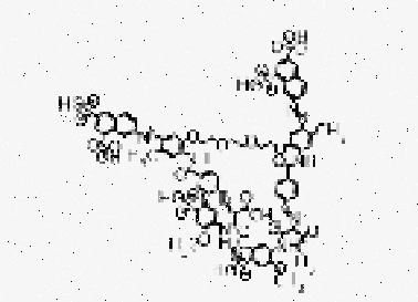 COc1cc(S(=O)(=O)O)c(C)cc1NC(=O)C(/N=N/c1ccc(C(=O)Nc2cc(C)c(/N=N/c3ccc4cc(S(=O)(=O)O)cc(S(=O)(=O)O)c4c3)cc2OCCOCCOCCOc2cc(/N=N/c3ccc4cc(S(=O)(=O)O)cc(S(=O)(=O)O)c4c3)c(C)cc2NC(=O)c2ccc(/N=N/C(C(C)=O)C(=O)Nc3cc(C)c(S(=O)(=O)O)cc3OC)cc2)cc1)C(C)=O